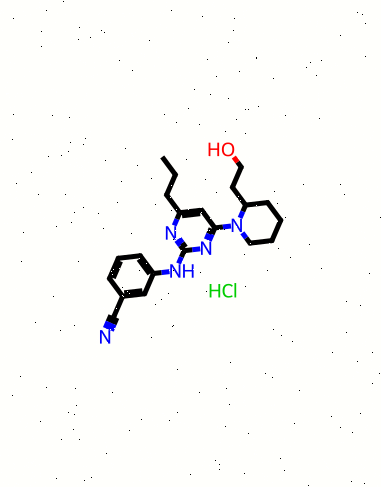 CCCc1cc(N2CCCCC2CCO)nc(Nc2cccc(C#N)c2)n1.Cl